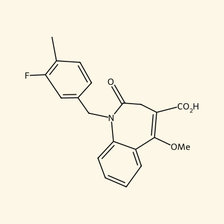 COC1=C(C(=O)O)CC(=O)N(Cc2ccc(C)c(F)c2)c2ccccc21